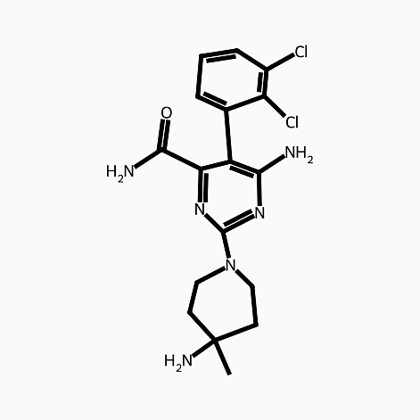 CC1(N)CCN(c2nc(N)c(-c3cccc(Cl)c3Cl)c(C(N)=O)n2)CC1